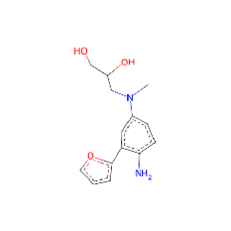 CN(CC(O)CO)c1ccc(N)c(-c2ccco2)c1